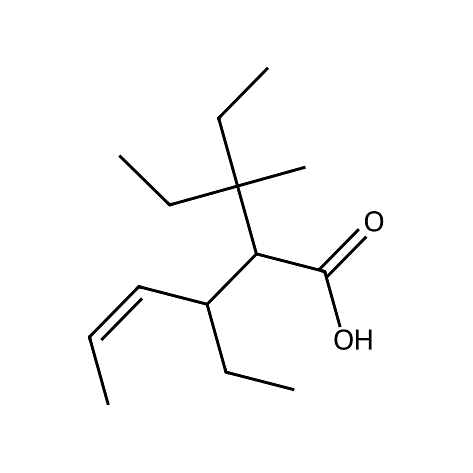 C/C=C\C(CC)C(C(=O)O)C(C)(CC)CC